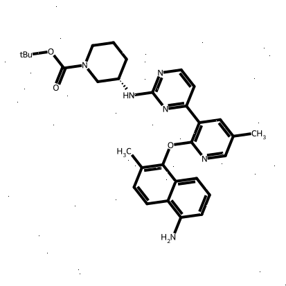 Cc1cnc(Oc2c(C)ccc3c(N)cccc23)c(-c2ccnc(N[C@H]3CCCN(C(=O)OC(C)(C)C)C3)n2)c1